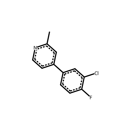 Cc1cc(-c2ccc(F)c(Cl)c2)ccn1